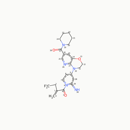 C=C(CC(F)(F)F)C(=O)n1ccc(N2CCOc3cc(C(=O)N4CCCCC4)cnc32)cc1=N